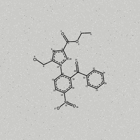 CCOC(=O)c1nc(CCl)n(-c2ccc([N+](=O)[O-])cc2C(=O)c2ccccc2)n1